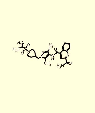 Cc1nn(CC2CCN(S(=O)(=O)C(C)C)CC2)c(C)c1NC(=O)c1cc(C(N)=O)nc2ccccc12